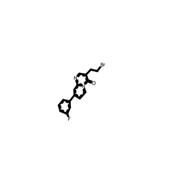 O=c1c(CCBr)cnc2cc(-c3cccc(F)c3)ccn12